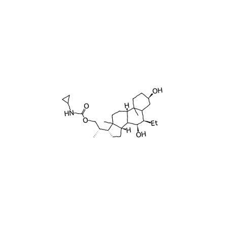 CC[C@@H]1C2C[C@H](O)CCC2(C)[C@H]2CCC3(C)[C@@H]([C@H](C)COC(=O)NC4CC4)CC[C@H]3C2[C@@H]1O